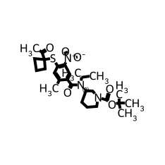 CC(=O)C1(Sc2cc(C)c(C(=O)N(C(C)C)[C@@H]3CCCN(C(=O)OC(C)(C)C)C3)cc2[N+](=O)[O-])CCC1